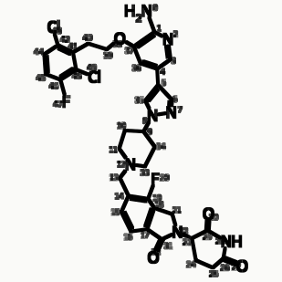 Nc1ncc(-c2cnn(C3CCN(Cc4ccc5c(c4F)CN([C@@H]4CCC(=O)NC4=O)C5=O)CC3)c2)cc1OCCc1c(Cl)ccc(F)c1Cl